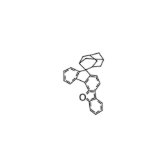 c1ccc2c(c1)-c1c(ccc3c1oc1ccccc13)C21C2CC3CC(C2)CC1C3